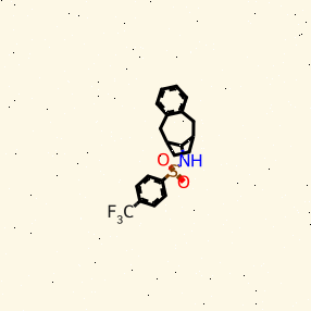 O=S(=O)(NC1C2CCC1Cc1ccccc1C2)c1ccc(C(F)(F)F)cc1